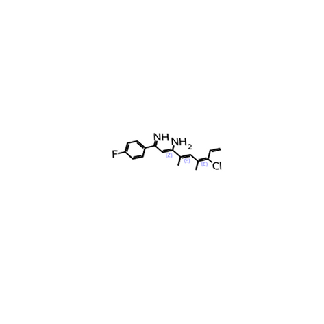 C=C\C(Cl)=C(C)/C=C(C)/C(N)=C/C(=N)c1ccc(F)cc1